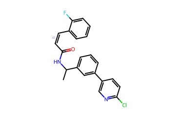 CC(NC(=O)/C=C\c1ccccc1F)c1cccc(-c2ccc(Cl)nc2)c1